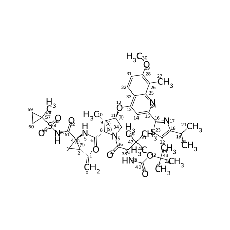 C=C[C@@H]1C[C@]1(NC(=O)[C@@H]1[C@H](C)[C@@H](Oc2cc(-c3nc(C(C)C)cs3)nc3c(C)c(OC)ccc23)CN1C(=O)[C@@H](NC(=O)OC(C)(C)C)C(C)(C)C)C(=O)NS(=O)(=O)C1(C)CC1